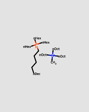 CCCCCCCCCCCCCC[PH](CCCCCC)(CCCCCC)CCCCCC.CCCCCCCC[N+](C)(CCCCCCCC)CCCCCCCC